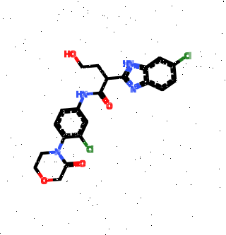 O=C(Nc1ccc(N2CCOCC2=O)c(Cl)c1)C(CCO)c1nc2ccc(Cl)cc2[nH]1